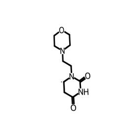 O=C1C[CH]N(CCN2CCOCC2)C(=O)N1